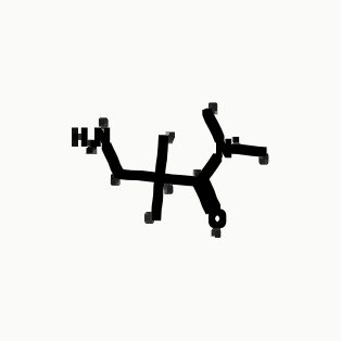 CN(C)C(=O)C(C)(C)CN